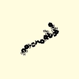 Cc1c(OC2CCC(CC[C@H](C)CN3CCN(c4nc5ccc(C6CCC(=O)NC6=O)cc5o4)CC3)CC2)cccc1-c1ccc(N2CCc3cccc(C(=O)Nc4nc5ccccc5s4)c3C2)nc1C(=O)OC(C)(C)C